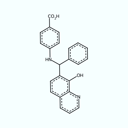 O=C(O)c1ccc(NC(c2ccccc2)c2ccc3cccnc3c2O)cc1